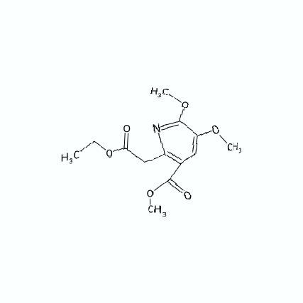 CCOC(=O)Cc1nc(OC)c(OC)cc1C(=O)OC